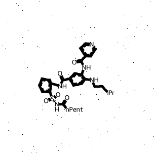 CCCCCC(=O)NS(=O)(=O)c1ccccc1NC(=O)c1ccc(NCCC(C)C)c(NC(=O)c2ccncc2)c1